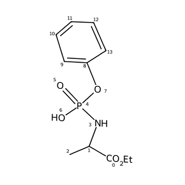 CCOC(=O)C(C)NP(=O)(O)Oc1ccccc1